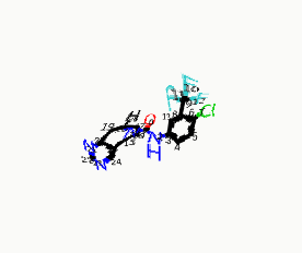 O=C(Nc1ccc(Cl)c(C(F)(F)F)c1)N1C2CC[C@H]1Cc1ncncc12